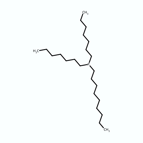 CCCCCCCCCP(CCCCCCC)CCCCCCC